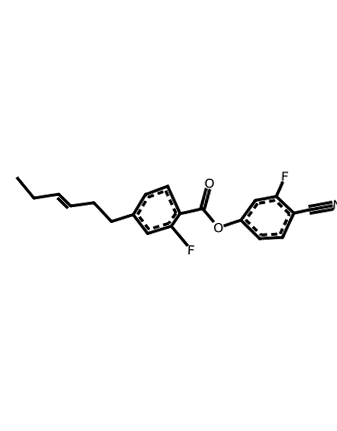 CC/C=C/CCc1ccc(C(=O)Oc2ccc(C#N)c(F)c2)c(F)c1